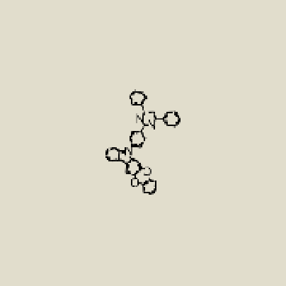 c1ccc(-c2cc(-c3ccccc3)nc(-c3ccc(-n4c5ccccc5c5cc6c(cc54)Oc4ccccc4O6)cc3)n2)cc1